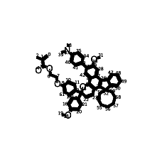 C=C(C)C(=O)OCCOc1ccc(C2(c3ccc(OC)cc3)C=Cc3c4c(c5cc(OC)c(-c6ccc(N(C)C)cc6)cc5c3O2)-c2ccccc2C42CCCCCCC2)cc1